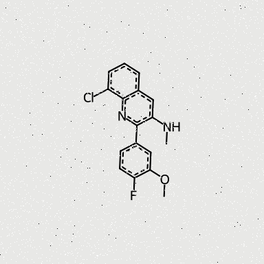 CNc1cc2cccc(Cl)c2nc1-c1ccc(F)c(OC)c1